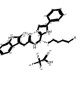 CC(=O)CCCCC[C@H](NC(=O)Cc1c(C)[nH]c2ccccc12)c1ncc(-c2ccccc2)[nH]1.O=C(O)C(F)(F)F